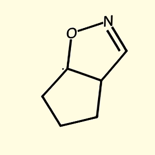 C1=NO[C]2CCCC12